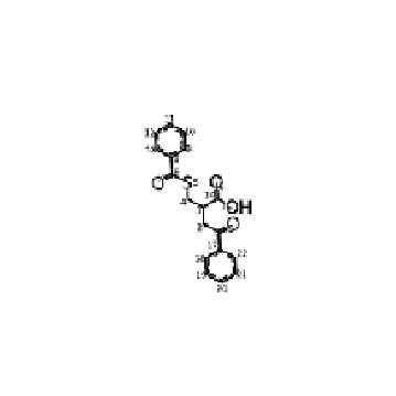 O=C(CC(CSC(=O)c1ccccc1)C(=O)O)c1ccccc1